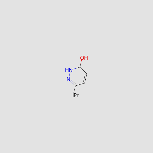 CC(C)C1=NNC(O)C=C1